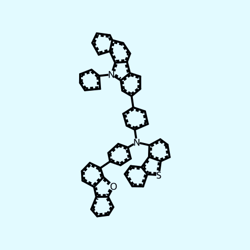 c1ccc(-n2c3cc(-c4ccc(N(c5ccc(-c6cccc7c6oc6ccccc67)cc5)c5cccc6sc7ccccc7c56)cc4)ccc3c3ccc4ccccc4c32)cc1